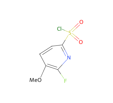 COc1ccc(S(=O)(=O)Cl)nc1F